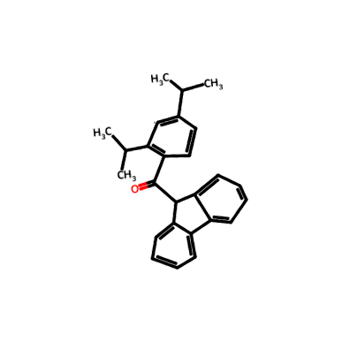 CC(C)c1[c]c(C(C)C)c(C(=O)C2c3ccccc3-c3ccccc32)cc1